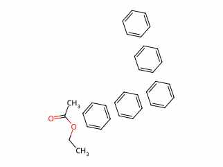 CCOC(C)=O.c1ccccc1.c1ccccc1.c1ccccc1.c1ccccc1.c1ccccc1